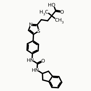 CC(C)(CCc1ncc(-c2ccc(NC(=O)NC3Cc4ccccc4C3)cc2)s1)C(=O)O